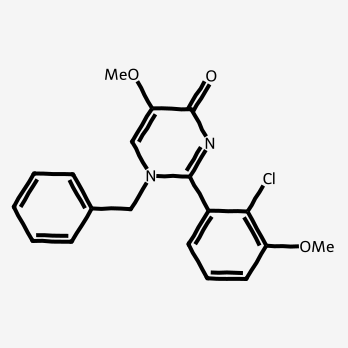 COc1cccc(-c2nc(=O)c(OC)cn2Cc2ccccc2)c1Cl